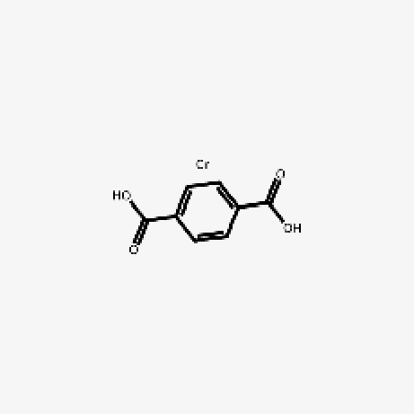 O=C(O)c1ccc(C(=O)O)cc1.[Cr]